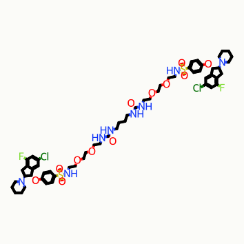 O=C(NCCCCNC(=O)NCCOCCOCCNS(=O)(=O)c1ccc(O[C@H]2c3cc(Cl)cc(F)c3C[C@@H]2N2CCCCC2)cc1)NCCOCCOCCNS(=O)(=O)c1ccc(O[C@H]2c3cc(Cl)cc(F)c3CC2N2CCCCC2)cc1